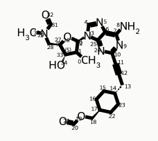 CC1[C@H](n2cnc3c(N)nc(C#CC[C@H]4CC[C@H](COC=O)CC4)nc32)O[C@H](CN(C)C=O)[C@H]1O